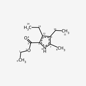 CCOC(=O)c1[nH]c(C)c(CC)c1CC